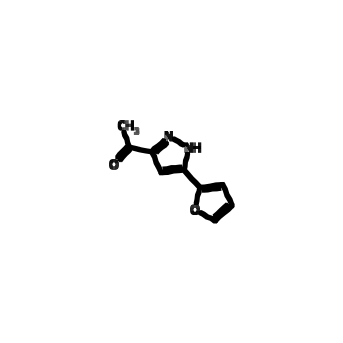 CC(=O)c1cc(-c2ccco2)[nH]n1